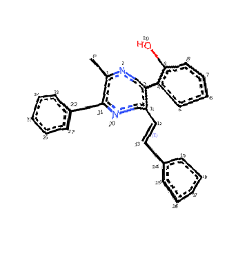 Cc1nc(-c2ccccc2O)c(/C=C/c2ccccc2)nc1-c1ccccc1